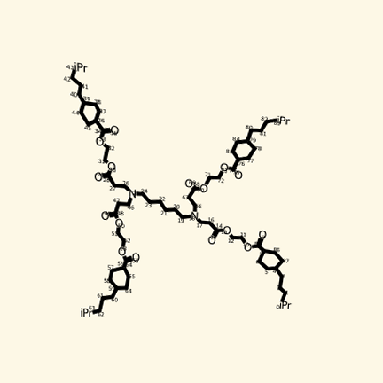 CC(C)CCCC1CCC(C(=O)OCCOC(=O)CCN(CCCCCCN(CCC(=O)OCCOC(=O)C2CCC(CCCC(C)C)CC2)CCC(=O)OCCOC(=O)C2CCC(CCCC(C)C)CC2)CCC(=O)OCCOC(=O)C2CCC(CCCC(C)C)CC2)CC1